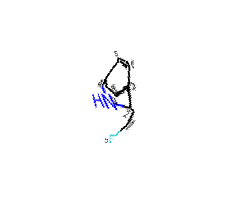 FCC1NC2C=CC1C2